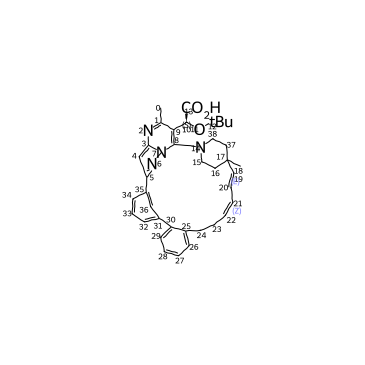 Cc1nc2cc3nn2c(c1[C@H](OC(C)(C)C)C(=O)O)N1CCC(C)(/C=C/C=C\CCc2ccccc2-c2cccc-3c2)CC1